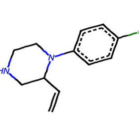 C=CC1CNCCN1c1ccc(Cl)cc1